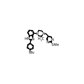 CSc1ncc(CN2CCN(c3cccc4[nH]c(-c5ccc(C(C)(C)C)cc5)nc34)C[C@@H]2C)cn1